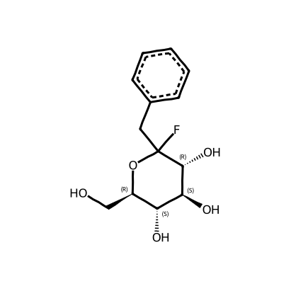 OC[C@H]1OC(F)(Cc2ccccc2)[C@H](O)[C@@H](O)[C@@H]1O